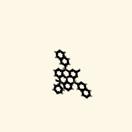 Cc1cc2c3c(c1)N(c1ccc4ccccc4c1)c1cccc4c1B3c1c(cccc1[Si]4(C)c1ccccc1)N2c1ccc2ccccc2c1